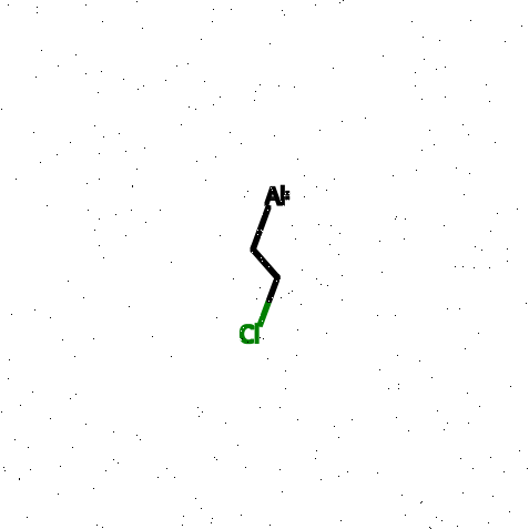 [Al][CH2]CCl